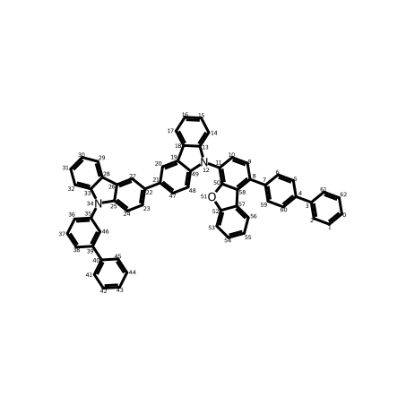 c1ccc(-c2ccc(-c3ccc(-n4c5ccccc5c5cc(-c6ccc7c(c6)c6ccccc6n7-c6cccc(-c7ccccc7)c6)ccc54)c4oc5ccccc5c34)cc2)cc1